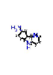 Nc1ccc2[nH]c3cccnc3c2c1